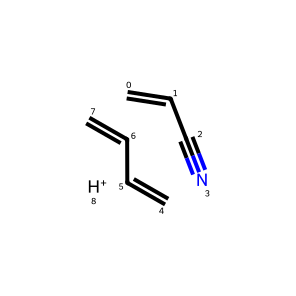 C=CC#N.C=CC=C.[H+]